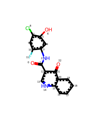 O=C(Nc1cc(O)c(Cl)cc1F)c1c[nH]c2ccccc2c1=O